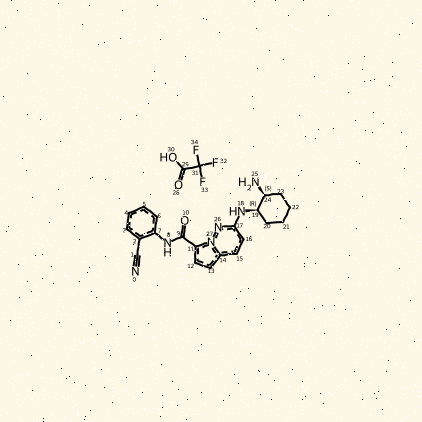 N#Cc1ccccc1NC(=O)c1ccc2ccc(N[C@@H]3CCCC[C@@H]3N)nn12.O=C(O)C(F)(F)F